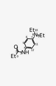 CCC(=O)Nc1ccc(N(CC)CC)cc1